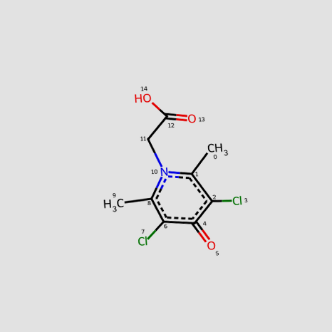 Cc1c(Cl)c(=O)c(Cl)c(C)n1CC(=O)O